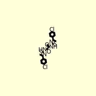 O=C(Nc1nc(-c2ccc(Cl)cc2)cs1)C(=O)Nc1nc(-c2ccc(Cl)cc2)cs1